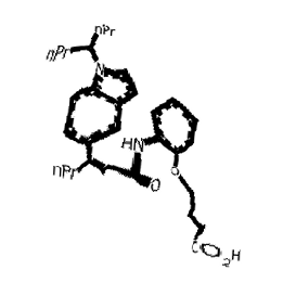 CCC/C(=C/C(=O)Nc1ccccc1OCCCC(=O)O)c1ccc2c(ccn2C(CCC)CCC)c1